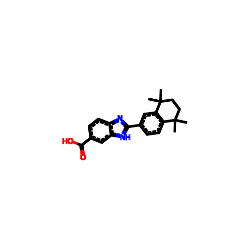 CC1(C)CCC(C)(C)c2cc(-c3nc4ccc(C(=O)O)cc4[nH]3)ccc21